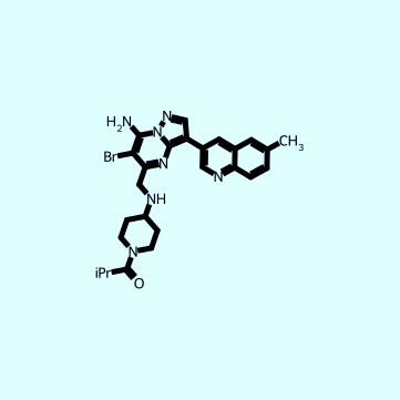 Cc1ccc2ncc(-c3cnn4c(N)c(Br)c(CNC5CCN(C(=O)C(C)C)CC5)nc34)cc2c1